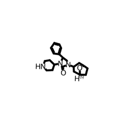 O=C1N(C2CC3CC[C@@H](C2)O3)CC(c2ccccc2)N1C1CCNCC1